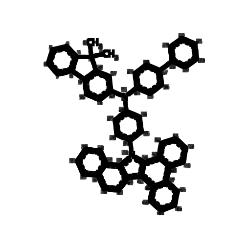 CC1(C)c2ccccc2-c2ccc(N(c3ccc(-c4ccccc4)cc3)c3ccc(-n4c5c6ccccc6ccc5c5c6ccccc6c6ccccc6c54)cc3)cc21